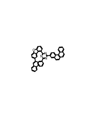 c1ccc(-c2nc(-c3ccc4c(ccc5ccc6ccccc6c54)c3)nc(-c3cccc4oc5ccc(-c6ccc7ccccc7c6)cc5c34)n2)cc1